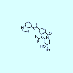 CC(C)CC1(O)CCN(C(=O)c2ccc(NSc3cccc4nccnc34)cc2OC(F)F)CC1